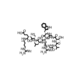 CC(C)C[C@H](NC(=O)[C@H](CCCNC(=N)N)NC(=O)[C@H](Cc1c[nH]c2ccccc12)NC(=O)CNC(=O)[C@@H](NC(=O)[C@@H](NC(=O)CN)C(C)C)[C@@H](C)O)C(=O)N[C@@H](CS)C(=O)C[C@@H](CCC(=O)O)C(=O)N[C@H](C)CCCNC(=N)N